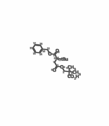 CC(C)(COC(=O)CN(C(=O)OCc1ccccc1)C(C)(C)C)C(=O)O